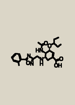 CCC(CC)O[C@@H]1C=C(C(=O)O)C[C@H](NCc2noc(-c3ccccc3C)n2)[C@H]1NC(C)=O